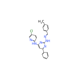 Cc1ccc(C=NNc2nc(Nc3ccc(Cl)cn3)cc(-c3ccccc3)n2)cc1